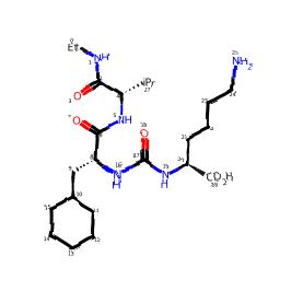 CCNC(=O)[C@@H](NC(=O)[C@@H](CC1CCCCC1)NC(=O)N[C@@H](CCCCN)C(=O)O)C(C)C